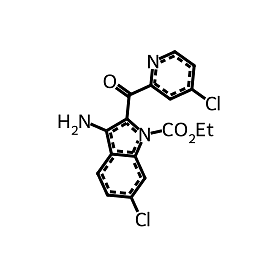 CCOC(=O)n1c(C(=O)c2cc(Cl)ccn2)c(N)c2ccc(Cl)cc21